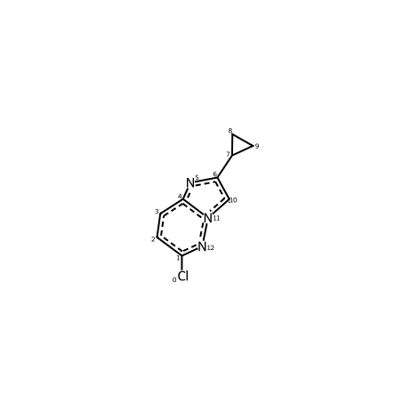 Clc1ccc2nc(C3CC3)[c]n2n1